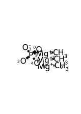 O=P([O-])([O-])[O-].[CH3][Mg+].[CH3][Mg+].[CH3][Mg+]